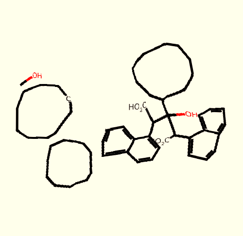 C1CCCCCCCCC1.C1CCCCCCCCC1.CO.O=C(O)C(c1cccc2ccccc12)C(O)(C1CCCCCCCCC1)C(C(=O)O)c1cccc2ccccc12